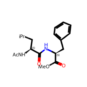 COC(=O)[C@H](Cc1ccccc1)NC(=O)[C@H](CC(C)C)NC(C)=O